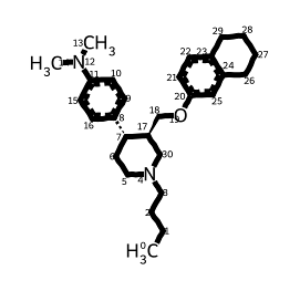 CCCCN1CC[C@H](c2ccc(N(C)C)cc2)[C@@H](COc2ccc3c(c2)CCCC3)C1